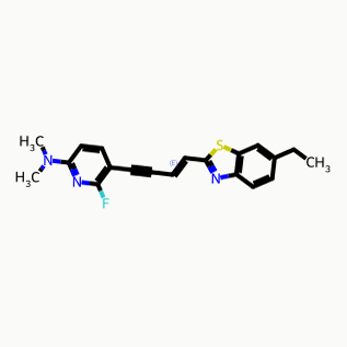 CCc1ccc2nc(/C=C/C#Cc3ccc(N(C)C)nc3F)sc2c1